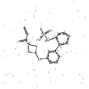 C=CC(=O)N1CC(Oc2cccc(-c3ccccc3NS(C)(=O)=O)c2)C1